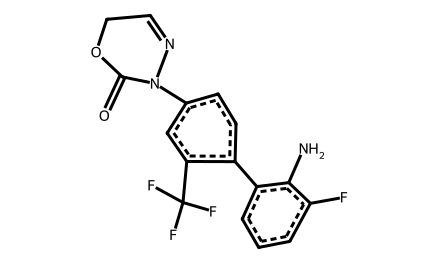 Nc1c(F)cccc1-c1ccc(N2N=CCOC2=O)cc1C(F)(F)F